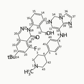 CN1CCC(c2ccc(NC3=CN(c4cccc(-n5ncc6cc(C(C)(C)C)cc(F)c6c5=O)c4CO)C[N+]4C=CN=C34)cc2)CC1